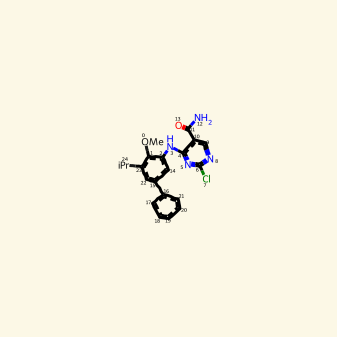 COc1c(Nc2nc(Cl)ncc2C(N)=O)cc(-c2ccccc2)cc1C(C)C